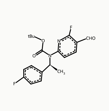 C[C@@H](c1ccc(F)cc1)N(C(=O)OC(C)(C)C)c1ccc(C=O)c(F)n1